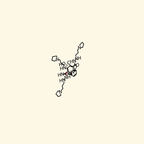 N=C(NNCCCN1CCCC1)c1c(NCCCN2CCCC2)c(C(=O)O)c(C(=O)NNCCCN2CCCC2)c2c3ccc(c(=O)[nH]c3=O)c12